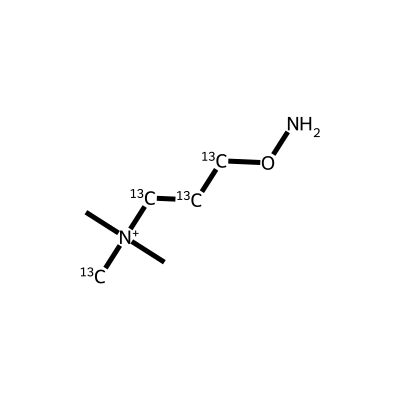 C[N+](C)([13CH3])[13CH2][13CH2][13CH2]ON